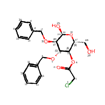 O=C(CCl)O[C@H]1[C@H](OCc2ccccc2)[C@@H](OCc2ccccc2)[C@@H](O)O[C@@H]1CO